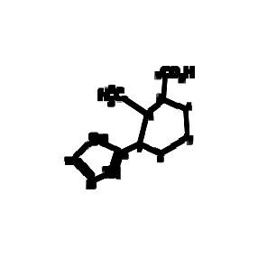 CC1C(C(=O)O)CCCC1c1nccs1